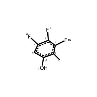 Cc1c(O)cc(F)c(F)c1F